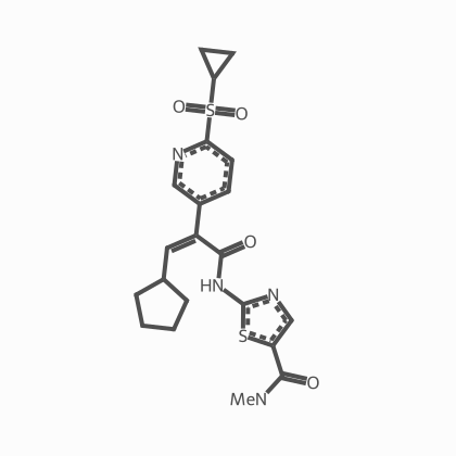 CNC(=O)c1cnc(NC(=O)C(=CC2CCCC2)c2ccc(S(=O)(=O)C3CC3)nc2)s1